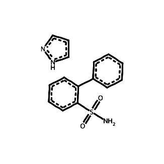 NS(=O)(=O)c1ccccc1-c1ccccc1.c1cn[nH]c1